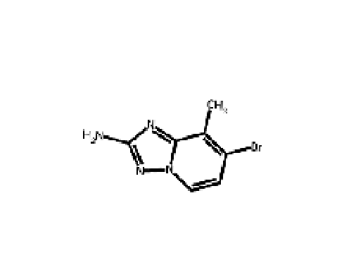 Cc1c(Br)ccn2nc(N)nc12